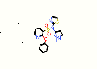 O=S(=O)(c1cccnc1Oc1ccccc1)N(c1ccn[nH]1)c1nccs1